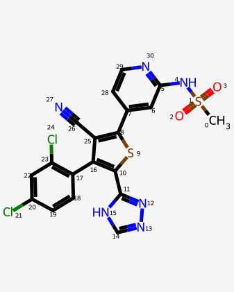 CS(=O)(=O)Nc1cc(-c2sc(-c3nnc[nH]3)c(-c3ccc(Cl)cc3Cl)c2C#N)ccn1